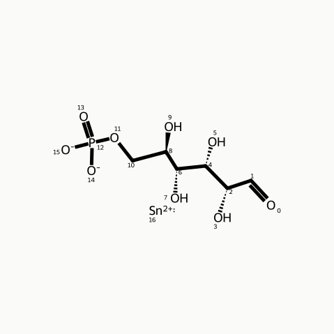 O=C[C@H](O)[C@@H](O)[C@H](O)[C@H](O)COP(=O)([O-])[O-].[Sn+2]